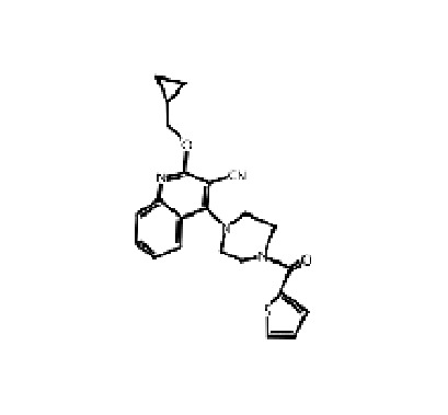 N#Cc1c(OCC2CC2)nc2ccccc2c1N1CCN(C(=O)c2cccs2)CC1